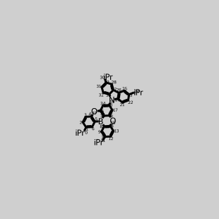 CC(C)c1ccc2c(c1)B1c3cc(C(C)C)ccc3Oc3cc(-n4c5ccc(C(C)C)cc5c5cc(C(C)C)ccc54)cc(c31)O2